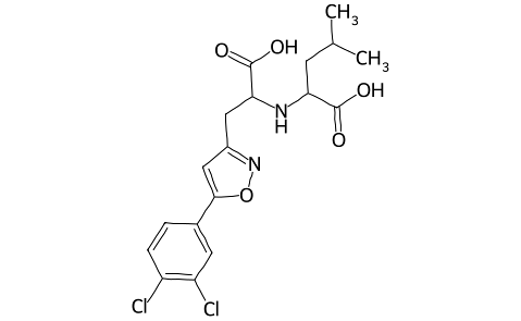 CC(C)CC(NC(Cc1cc(-c2ccc(Cl)c(Cl)c2)on1)C(=O)O)C(=O)O